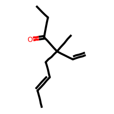 C=CC(C)(C/C=C/C)C(=O)CC